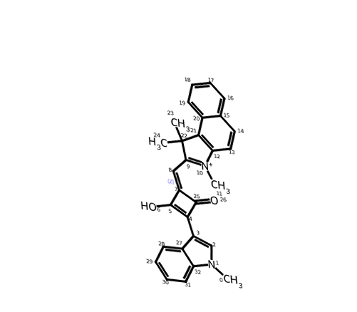 Cn1cc(C2=C(O)/C(=C/C3=[N+](C)c4ccc5ccccc5c4C3(C)C)C2=O)c2ccccc21